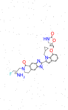 Cn1c(-c2cc3cccc(OC[C@H]4CNC(=O)O4)c3n2CC2CC2)nc2cc3c(cc21)CCN(C[C@H](N)CF)C3=O